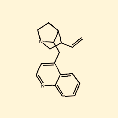 C=CC1CN2CCC1C2Cc1ccnc2ccccc12